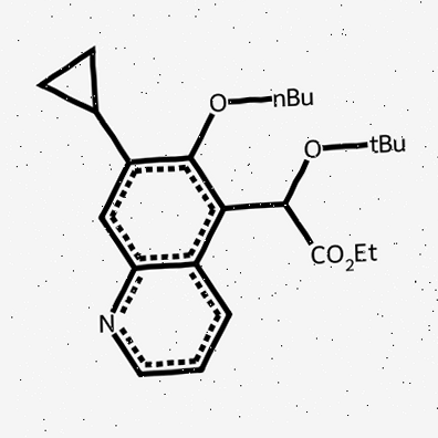 CCCCOc1c(C2CC2)cc2ncccc2c1C(OC(C)(C)C)C(=O)OCC